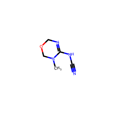 CN1COCN=C1NC#N